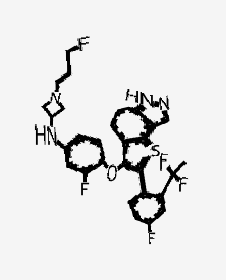 CC(F)(F)c1cc(F)ccc1-c1sc2c(ccc3[nH]ncc32)c1Oc1ccc(NC2CN(CCCF)C2)cc1F